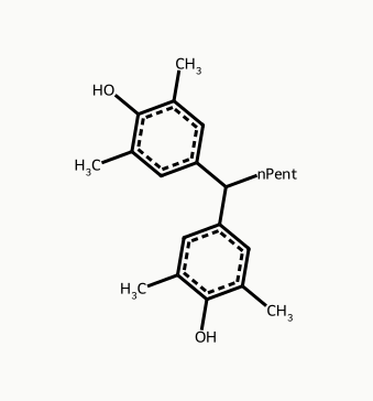 CCCCCC(c1cc(C)c(O)c(C)c1)c1cc(C)c(O)c(C)c1